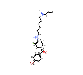 C=CCN(C)CCCCCCNc1ccc(C(=O)c2ccc(Br)cc2)cc1F